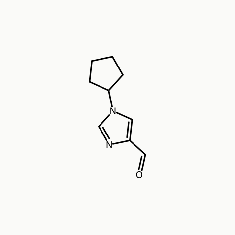 O=Cc1cn(C2CCCC2)cn1